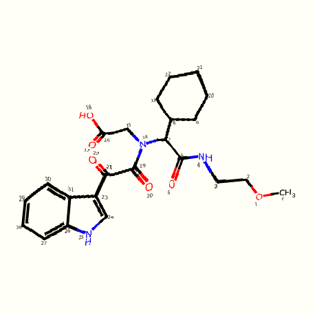 COCCNC(=O)C(C1CCCCC1)N(CC(=O)O)C(=O)C(=O)c1c[nH]c2ccccc12